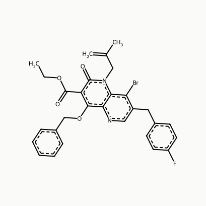 C=C(C)Cn1c(=O)c(C(=O)OCC)c(OCc2ccccc2)c2ncc(Cc3ccc(F)cc3)c(Br)c21